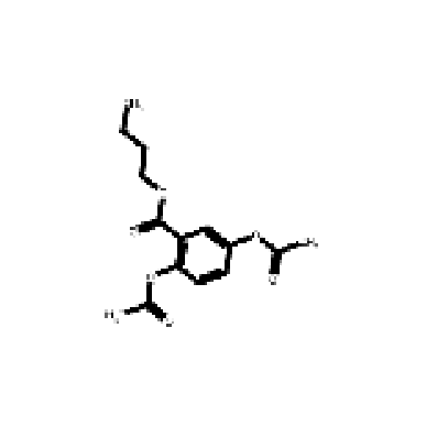 CCCCOC(=O)c1cc(OC(C)=O)ccc1OC(C)=O